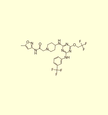 Cc1cc(NC(=O)CN2CCC(Nc3nc(Nc4cccc(C(F)(F)F)c4)nc(OCC(F)(F)F)n3)CC2)no1